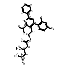 Cc1cc(F)ccc1-c1cc(-c2ccccc2)nc(C(C)C)c1CCOC(=O)CC(O)C[PH](=O)O